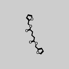 O=C(CCCC(=O)OCc1ccco1)OCc1ccco1